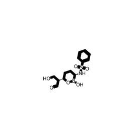 O=CC(CO)[C@@H]1CC[C@H](NS(=O)(=O)c2ccccc2)B(O)O1